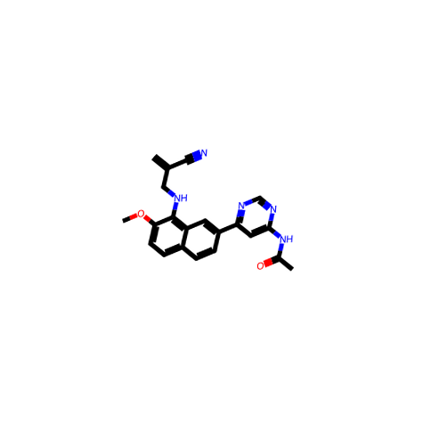 C=C(C#N)CNc1c(OC)ccc2ccc(-c3cc(NC(C)=O)ncn3)cc12